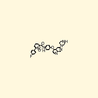 O=C(Nc1ccc(Oc2ccnc3cnc(N4CCNCC4)cc23)cc1)c1cccc(-c2ccc(F)cc2)[n+]1[O-]